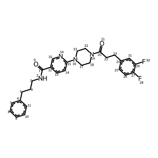 O=C(NCCCc1ccccc1)c1ccc(N2CCN(C(=O)CCc3ccc(F)c(F)c3)CC2)nc1